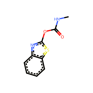 CNC(=O)Oc1nc2ccccc2s1